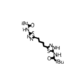 CCC(C)C(=O)Nc1nnc(CCCCC2=NNC(NC(=O)C(C)CC)S2)s1